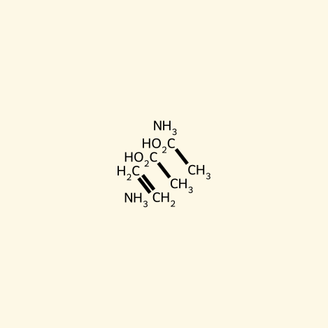 C=C.CC(=O)O.CC(=O)O.N.N